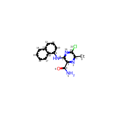 CCc1nc(C(N)=O)c(Nc2cccc3ccccc23)nc1Cl